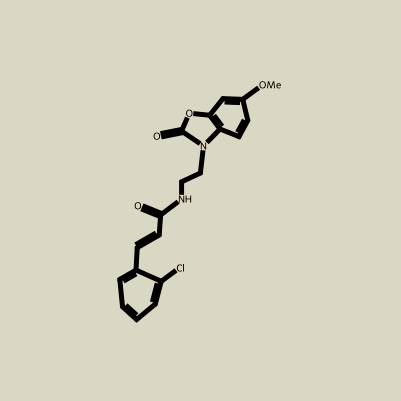 COc1ccc2c(c1)oc(=O)n2CCNC(=O)/C=C/c1ccccc1Cl